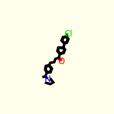 CC(c1ccc(CCCC(=O)c2ccc(-c3ccc(Cl)cc3)cc2)cc1)N1CCCC1